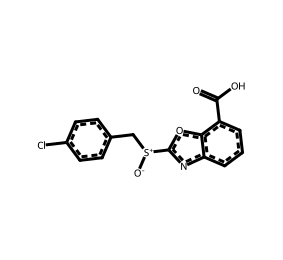 O=C(O)c1cccc2nc([S+]([O-])Cc3ccc(Cl)cc3)oc12